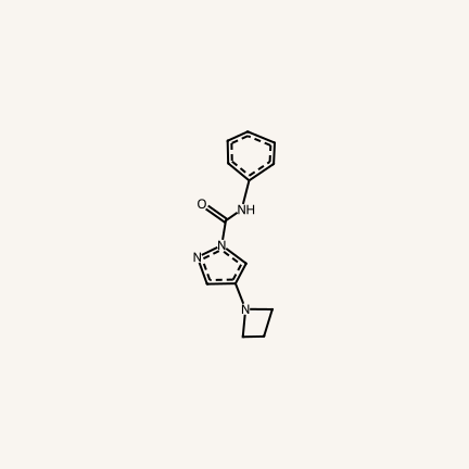 O=C(Nc1ccccc1)n1cc(N2CCC2)cn1